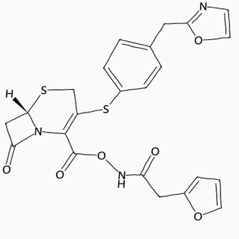 O=C(Cc1ccco1)NOC(=O)C1=C(Sc2ccc(Cc3ncco3)cc2)CS[C@H]2CC(=O)N12